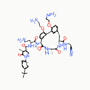 Cc1c(C(=O)N[C@@H](CCN)C(=O)N(C)[C@@H]2C(=O)N[C@@H](C)C(=O)N[C@H](C(=O)NCC#N)Cc3ccc(OCCN)c(c3)-c3cc2ccc3OCCN)cnn(-c2ccc(C(C)(C)C)cc2)c1=O